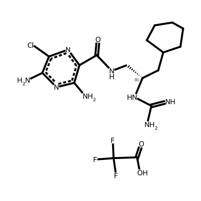 N=C(N)N[C@H](CNC(=O)c1nc(Cl)c(N)nc1N)CC1CCCCC1.O=C(O)C(F)(F)F